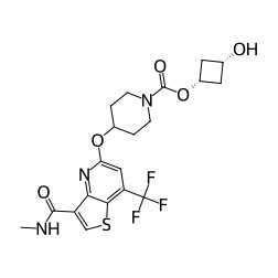 CNC(=O)c1csc2c(C(F)(F)F)cc(OC3CCN(C(=O)O[C@H]4C[C@@H](O)C4)CC3)nc12